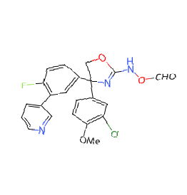 COc1ccc(C2(c3ccc(F)c(-c4cccnc4)c3)COC(NOC=O)=N2)cc1Cl